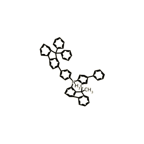 CC1(C)c2ccccc2-c2cccc(N(c3ccc(-c4ccccc4)cc3)c3ccc(-c4ccc5c(c4)C(c4ccccc4)(c4ccccc4)c4ccccc4-5)cc3)c21